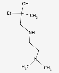 CCC(C)(O)CNCCN(C)C